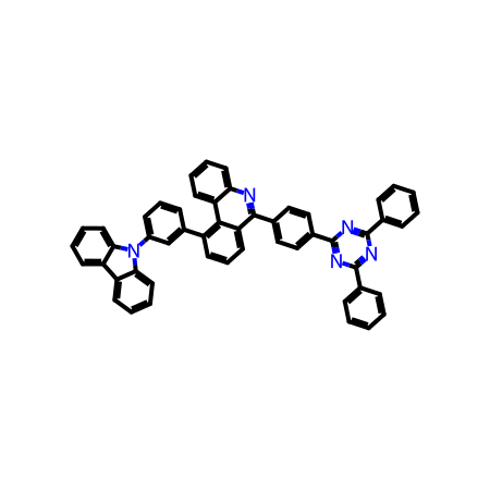 c1ccc(-c2nc(-c3ccccc3)nc(-c3ccc(-c4nc5ccccc5c5c(-c6cccc(-n7c8ccccc8c8ccccc87)c6)cccc45)cc3)n2)cc1